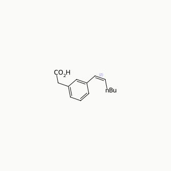 CCCC/C=C\c1cccc(CC(=O)O)c1